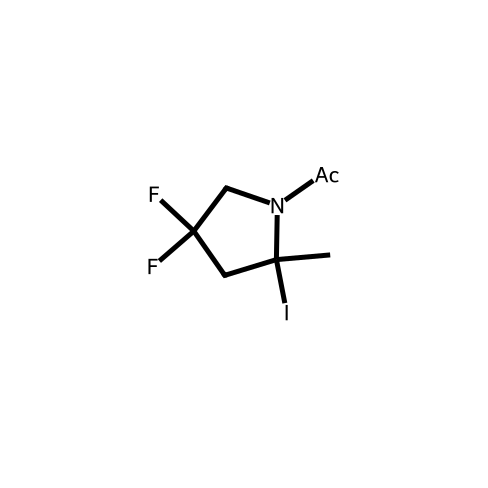 CC(=O)N1CC(F)(F)CC1(C)I